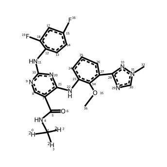 [2H]C([2H])([2H])NC(=O)c1cnc(Nc2ccc(F)cc2F)nc1Nc1cccc(-c2ncn(C)n2)c1OC